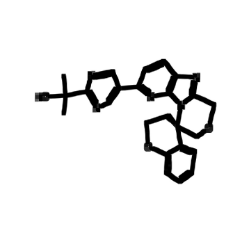 CC(C)(O)c1ncc(-c2ccc3nc4n(c3n2)[C@]2(CCOc3ccccc32)COC4)cn1